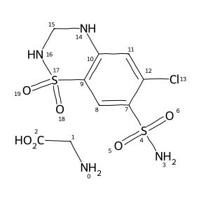 NCC(=O)O.NS(=O)(=O)c1cc2c(cc1Cl)NCNS2(=O)=O